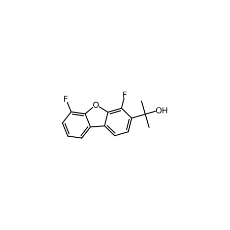 CC(C)(O)c1ccc2c(oc3c(F)cccc32)c1F